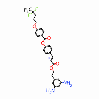 Nc1cc(N)cc(CCOC(=O)/C=C/c2ccc(OC(=O)c3ccc(OCCCC(F)(F)C(F)(F)F)cc3)cc2)c1